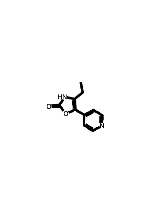 CCc1[nH]c(=O)oc1-c1ccncc1